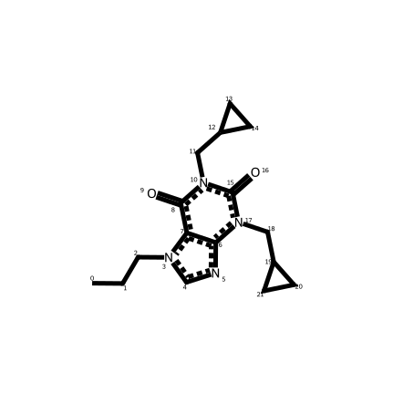 CCCn1cnc2c1c(=O)n(CC1CC1)c(=O)n2CC1CC1